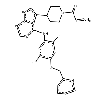 C=CC(=O)N1CCC(c2c[nH]c3ncnc(Nc4cc(Cl)c(OCc5ccccn5)cc4Cl)c23)CC1